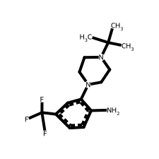 CC(C)(C)N1CCN(c2cc(C(F)(F)F)ccc2N)CC1